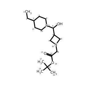 CCC1CCN(C(O)C2CN(CC(=O)OC(C)(C)C)C2)CC1